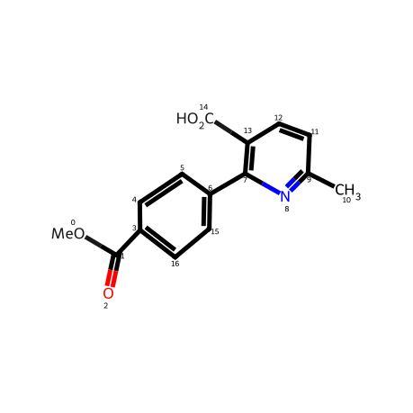 COC(=O)c1ccc(-c2nc(C)ccc2C(=O)O)cc1